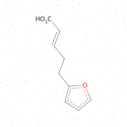 O=C(O)C=CCCc1ccco1